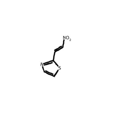 O=[N+]([O-])C=Cc1nccs1